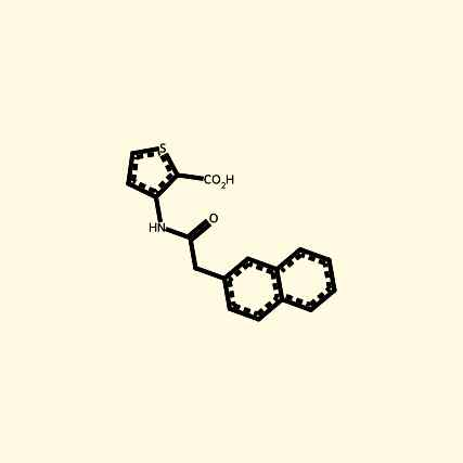 O=C(Cc1ccc2ccccc2c1)Nc1ccsc1C(=O)O